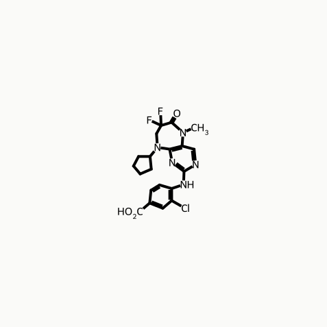 CN1C(=O)C(F)(F)CN(C2CCCC2)c2nc(Nc3ccc(C(=O)O)cc3Cl)ncc21